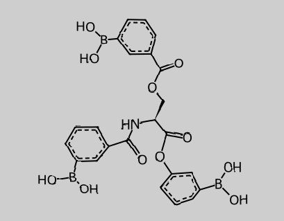 O=C(N[C@@H](COC(=O)c1cccc(B(O)O)c1)C(=O)Oc1cccc(B(O)O)c1)c1cccc(B(O)O)c1